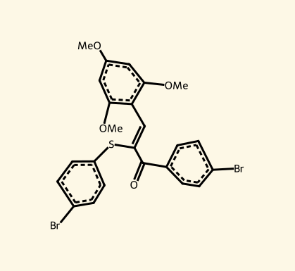 COc1cc(OC)c(C=C(Sc2ccc(Br)cc2)C(=O)c2ccc(Br)cc2)c(OC)c1